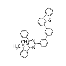 C[Si]1(C)c2ccccc2-c2nc(-c3cccc(-c4cccc(-c5cccc6c5sc5ccccc56)c4)c3)nc(-c3ccccc3)c21